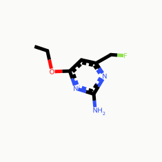 CCOc1cc(CF)nc(N)n1